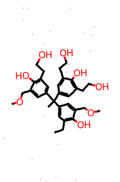 CCc1cc(C(C)(c2cc(CCO)c(O)c(CCO)c2)c2cc(CCO)c(O)c(COC)c2)cc(COC)c1O